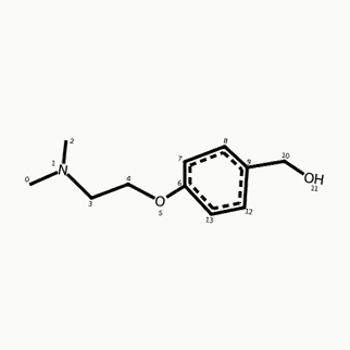 CN(C)CCOc1ccc(CO)cc1